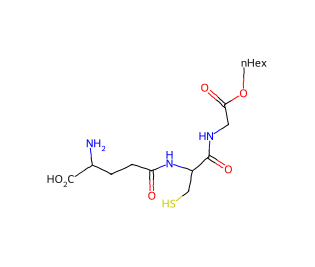 CCCCCCOC(=O)CNC(=O)C(CS)NC(=O)CCC(N)C(=O)O